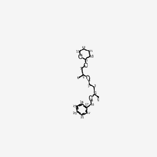 CC(CCOC(C)COC1CCCCO1)OCc1ccccc1